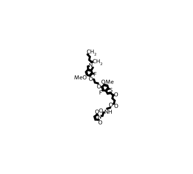 C=CCCC(=C)N1Cc2cc(OC)c(OCCCOc3c(OC)cc4sc(C(=O)CCC(=O)OCCNC(=O)CN5C(=O)C=CC5=O)cc4c3F)c(F)c2C1